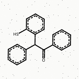 O=C(c1ccccc1)C(c1ccccc1)c1ccccc1S